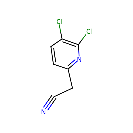 N#CCc1ccc(Cl)c(Cl)n1